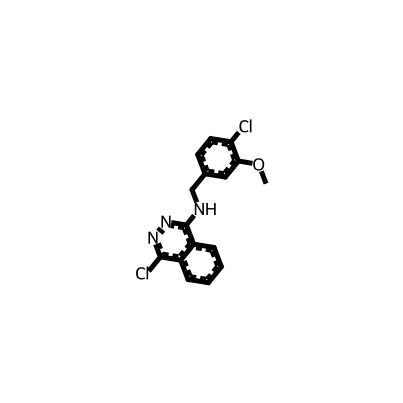 COc1cc(CNc2nnc(Cl)c3ccccc23)ccc1Cl